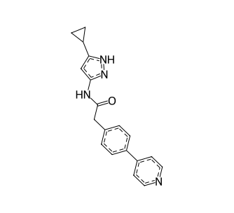 O=C(Cc1ccc(-c2ccncc2)cc1)Nc1cc(C2CC2)[nH]n1